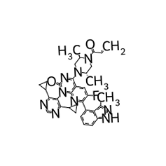 C=CC(=O)N1C[C@H](C)N(c2nc(=O)n(-c3c(C4CC4)ncnc3C3CC3)c3nc(-c4cccc5[nH]nc(C)c45)c(F)cc23)C[C@H]1C